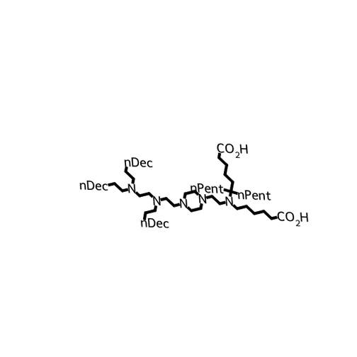 CCCCCCCCCCCCN(CCCCCCCCCCCC)CCN(CCCCCCCCCCCC)CCN1CCN(CCN(CCCCCC(=O)O)C(CCCCC)(CCCCC)CCCCC(=O)O)CC1